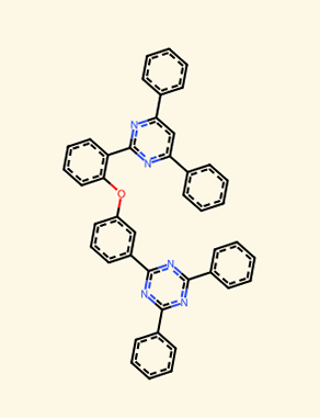 c1ccc(-c2cc(-c3ccccc3)nc(-c3ccccc3Oc3cccc(-c4nc(-c5ccccc5)nc(-c5ccccc5)n4)c3)n2)cc1